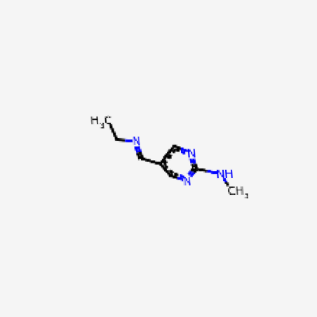 CCN=Cc1cnc(NC)nc1